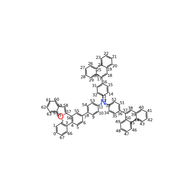 c1ccc(-c2ccc(-c3ccc(N(c4ccc(-c5cc6ccccc6c6ccccc56)cc4)c4ccc(-c5cc6ccccc6c6ccccc56)cc4)cc3)cc2-c2cc3ccccc3o2)cc1